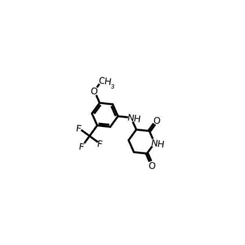 COc1cc(NC2CCC(=O)NC2=O)cc(C(F)(F)F)c1